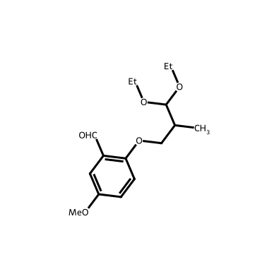 CCOC(OCC)C(C)COc1ccc(OC)cc1C=O